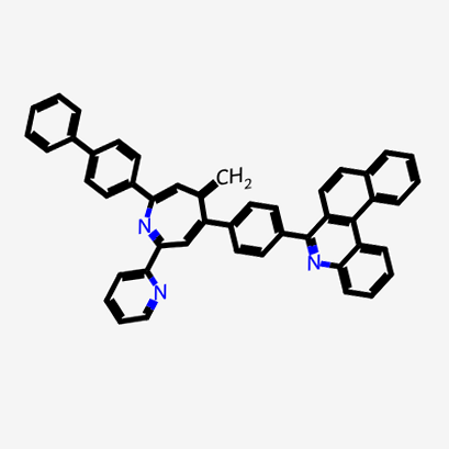 C=C1C=C(c2ccc(-c3ccccc3)cc2)N=C(c2ccccn2)C=C1c1ccc(-c2nc3ccccc3c3c2ccc2ccccc23)cc1